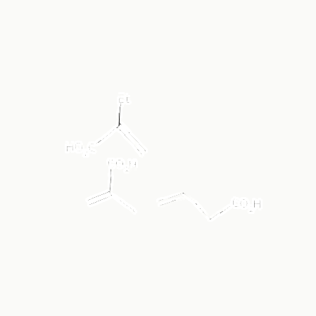 C=C(C)C(=O)O.C=C(CC)C(=O)O.C=CCC(=O)O